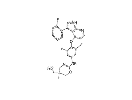 C[C@]1(CO)CN=C(Nc2cc(F)c(Oc3ccnc4[nH]cc(-c5ccccc5F)c34)c(F)c2)OC1